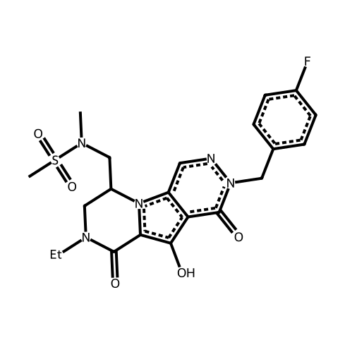 CCN1CC(CN(C)S(C)(=O)=O)n2c(c(O)c3c(=O)n(Cc4ccc(F)cc4)ncc32)C1=O